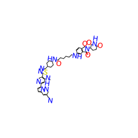 CNc1cc(-c2ccc3cc(C#N)cnn23)ncc1-c1nnc(C2CCC(NC(=O)CCCCCNc3ccc4c(c3)C(=O)N(C3CCC(=O)NC3=O)C4=O)CC2)s1